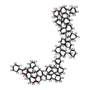 c1ccc(-c2cccc(-c3ccccc3N(c3ccc(-c4cccc5c(-c6ccc7c(c6)c6cccc8c6n7-c6ccccc6C86c7ccccc7-c7ccc(-c8ccc(N(c9ccccc9-c9cccc(-c%10ccccc%10)c9)c9cccc%10ccccc9%10)c9ccccc89)cc76)cccc45)cc3)c3ccc(-c4ccc5c(c4)C4(c6ccccc6-5)c5ccccc5-n5c6ccccc6c6cccc4c65)c4ccccc34)c2)cc1